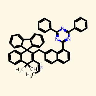 C/C=C\C1=C(Cc2ccc3cccc(-c4nc(-c5ccccc5)nc(-c5ccccc5)n4)c3c2)C2(c3ccccc3-c3ccccc32)c2ccccc2C1(C)C